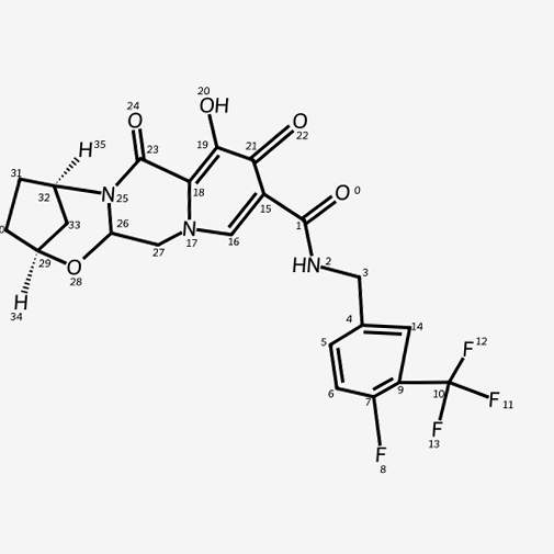 O=C(NCc1ccc(F)c(C(F)(F)F)c1)c1cn2c(c(O)c1=O)C(=O)N1C(C2)O[C@H]2CC[C@@H]1C2